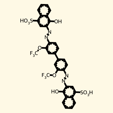 O=S(=O)(O)c1cc(/N=N/c2ccc(-c3ccc(/N=N/c4cc(S(=O)(=O)O)c5ccccc5c4O)c(OC(F)(F)F)c3)cc2OC(F)(F)F)c(O)c2ccccc12